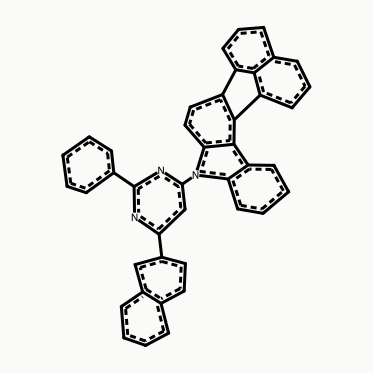 c1ccc(-c2nc(-c3ccc4ccccc4c3)cc(-n3c4ccccc4c4c5c(ccc43)-c3cccc4cccc-5c34)n2)cc1